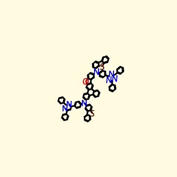 c1ccc(-c2cc(-c3ccc(N(c4ccc5sc6ccccc6c5c4)c4ccc5c(c4)c4ccccc4c4cc6c(cc54)oc4ccc(N(c5ccc(-c7nc(-c8ccccc8)nc(-c8ccccc8)n7)cc5)c5cccc7c5sc5ccccc57)cc46)cc3)nc(-c3ccccc3)n2)cc1